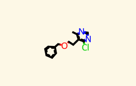 Cc1ncnc(Cl)c1CCOCc1ccccc1